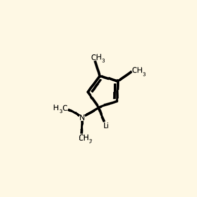 [Li][C]1(N(C)C)C=C(C)C(C)=C1